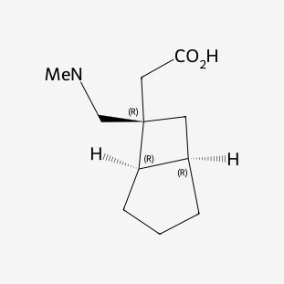 CNC[C@@]1(CC(=O)O)C[C@H]2CCC[C@H]21